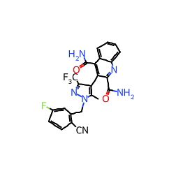 Cc1c(-c2c(C(N)=O)nc3ccccc3c2C(N)=O)c(C(F)(F)F)nn1Cc1cc(F)ccc1C#N